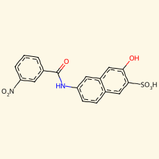 O=C(Nc1ccc2cc(S(=O)(=O)O)c(O)cc2c1)c1cccc([N+](=O)[O-])c1